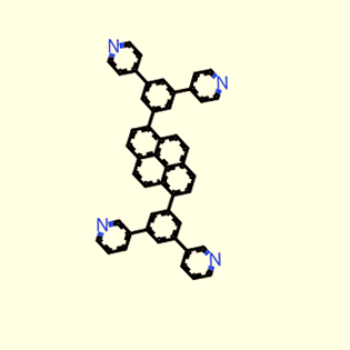 c1cncc(-c2cc(-c3cccnc3)cc(-c3ccc4ccc5c(-c6cc(-c7ccncc7)cc(-c7ccncc7)c6)ccc6ccc3c4c65)c2)c1